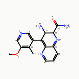 COc1cncc(C2=c3ncccc3=NC(C(N)=O)C2N)c1C